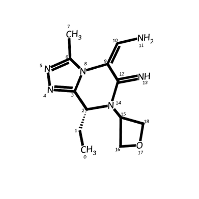 CC[C@@H]1c2nnc(C)n2/C(=C/N)C(=N)N1C1COC1